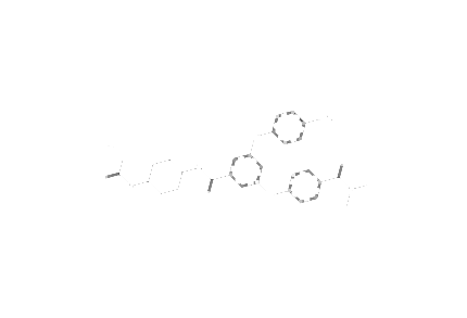 CN(C)C(=O)c1ccc(Oc2cc(Oc3ccc(C#N)cc3)cc(C(=O)NC3CCC(NC(=O)OC(C)(C)C)CC3)c2)cc1